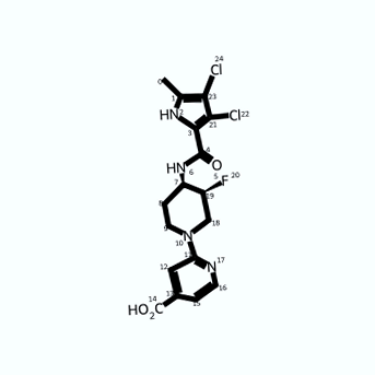 Cc1[nH]c(C(=O)N[C@@H]2CCN(c3cc(C(=O)O)ccn3)C[C@@H]2F)c(Cl)c1Cl